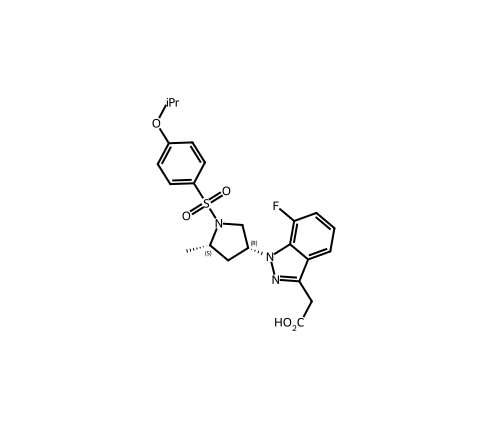 CC(C)Oc1ccc(S(=O)(=O)N2C[C@H](n3nc(CC(=O)O)c4cccc(F)c43)C[C@@H]2C)cc1